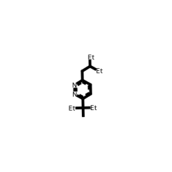 CCC(CC)Cc1ccc(C(C)(CC)CC)nn1